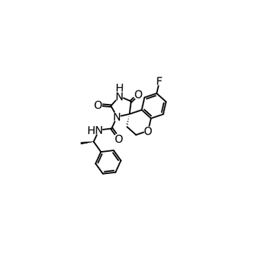 C[C@@H](NC(=O)N1C(=O)NC(=O)[C@]12CCOc1ccc(F)cc12)c1ccccc1